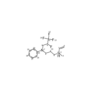 C=C[SiH](C)CCCN(CC(F)C(F)(F)F)c1ccccc1